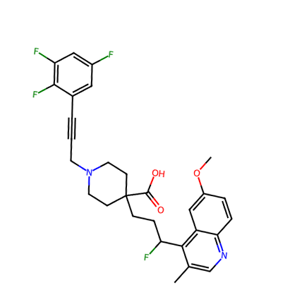 COc1ccc2ncc(C)c(C(F)CCC3(C(=O)O)CCN(CC#Cc4cc(F)cc(F)c4F)CC3)c2c1